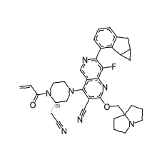 C=CC(=O)N1CCN(c2c(C#N)c(OCC34CCCN3CCC4)nc3c(F)c(-c4cccc5c4C4CC4C5)ncc23)C[C@@H]1CC#N